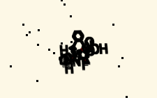 O=C(O)c1cc(F)c2nc(N3[C@@H]4CC[C@H]3C[C@H](OCc3c(-c5ccccc5C5CC5)noc3C3CC3)C4)sc2c1